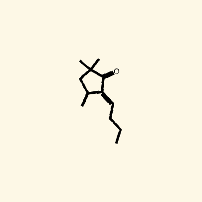 CCC/C=C1/C(=O)C(C)(C)CC1C